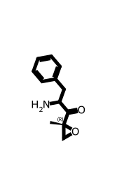 C[C@]1(C(=O)C(N)Cc2ccccc2)CO1